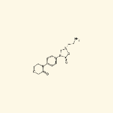 NCC[C@H]1CN(c2ccc(N3CCOCC3=O)cc2)C(=O)O1